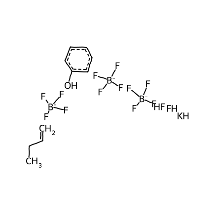 C=CCC.F.F.F[B-](F)(F)F.F[B-](F)(F)F.F[B-](F)(F)F.Oc1ccccc1.[KH]